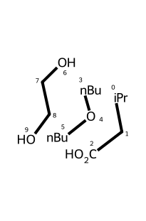 CC(C)CC(=O)O.CCCCOCCCC.OCCO